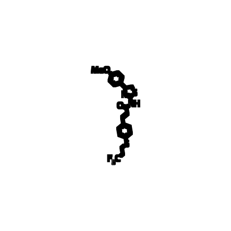 COc1ccc(C2CSC(NC(=O)/C=C/c3ccc(SCCC(F)(F)F)cc3)=N2)cc1